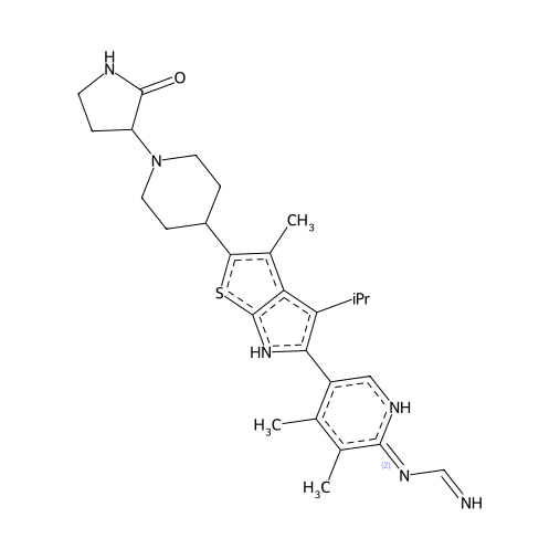 Cc1c(-c2[nH]c3sc(C4CCN(C5CCNC5=O)CC4)c(C)c3c2C(C)C)c[nH]/c(=N\C=N)c1C